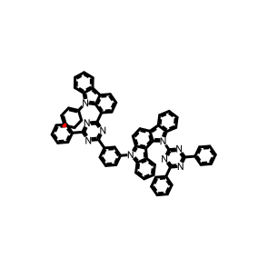 C1=CCCC(n2c3ccccc3c3cccc(-c4nc(-c5ccccc5)nc(-c5cccc(-n6c7ccccc7c7c6ccc6c8ccccc8n(-c8nc(-c9ccccc9)nc(-c9ccccc9)n8)c67)c5)n4)c32)=C1